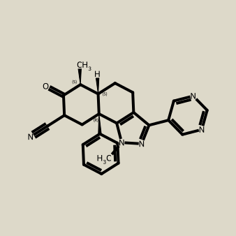 C[C@@H]1C(=O)C(C#N)C[C@@]2(c3ccccc3)c3c(c(-c4cncnc4)nn3C)CC[C@@H]12